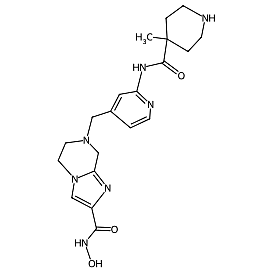 CC1(C(=O)Nc2cc(CN3CCn4cc(C(=O)NO)nc4C3)ccn2)CCNCC1